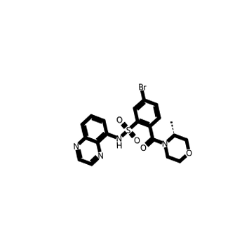 C[C@@H]1COCCN1C(=O)c1ccc(Br)cc1S(=O)(=O)Nc1cccc2nccnc12